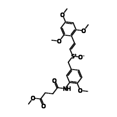 COC(=O)CCC(=O)Nc1cc(C[S+]([O-])C=Cc2c(OC)cc(OC)cc2OC)ccc1OC